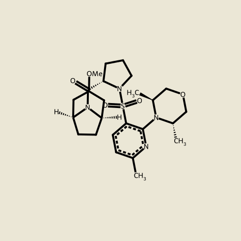 COC1C[C@H]2CC[C@@H](C1)N2C(=O)[C@@H]1CCCN1S(=O)(=O)c1ccc(C)nc1N1[C@@H](C)COC[C@@H]1C